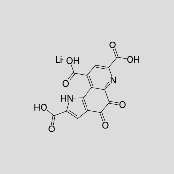 O=C(O)c1cc(C(=O)O)c2c(n1)C(=O)C(=O)c1cc(C(=O)O)[nH]c1-2.[Li]